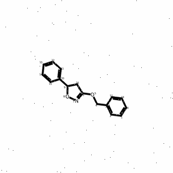 c1ccc(COC2=NOC(c3ccccc3)C2)cc1